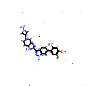 CCc1cc(O)c(F)cc1-c1ccc2c(C3=NC4CN(C5CN(C(C)C)C5)CCC4N3)n[nH]c2c1